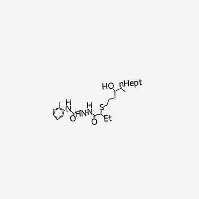 CCCCCCCC(C)C(O)CCCSC(CC)C(=O)NNCC(=O)Nc1ccccc1C